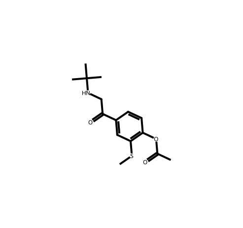 CSc1cc(C(=O)CNC(C)(C)C)ccc1OC(C)=O